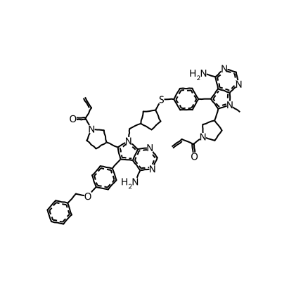 C=CC(=O)N1CCC(c2c(-c3ccc(SC4CCC(Cn5c(C6CCN(C(=O)C=C)C6)c(-c6ccc(OCc7ccccc7)cc6)c6c(N)ncnc65)C4)cc3)c3c(N)ncnc3n2C)C1